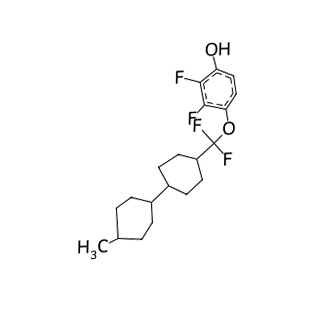 CC1CCC(C2CCC(C(F)(F)Oc3ccc(O)c(F)c3F)CC2)CC1